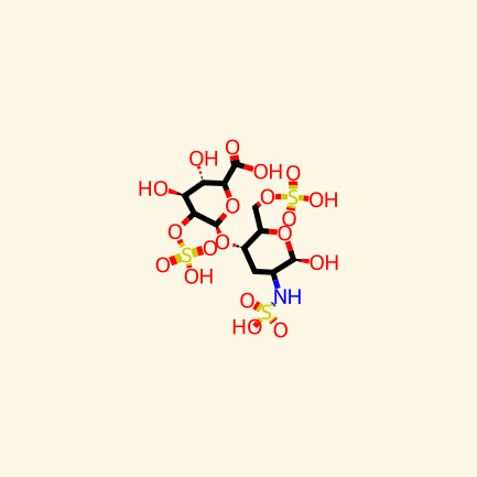 O=C(O)C1O[C@@H](O[C@H]2CC(NS(=O)(=O)O)[C@H](O)OC2COS(=O)(=O)O)C(OS(=O)(=O)O)[C@@H](O)[C@@H]1O